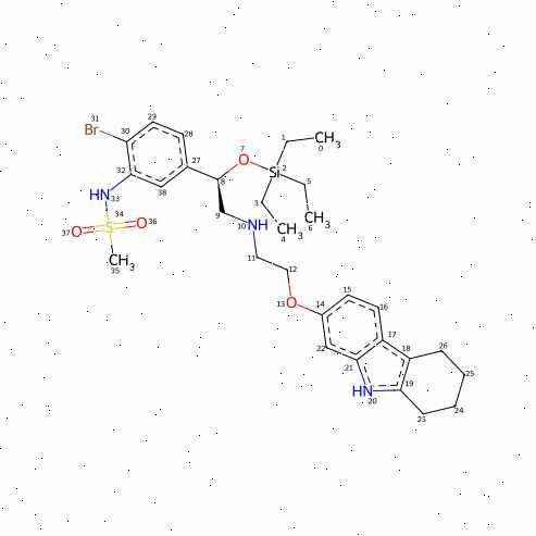 CC[Si](CC)(CC)O[C@@H](CNCCOc1ccc2c3c([nH]c2c1)CCCC3)c1ccc(Br)c(NS(C)(=O)=O)c1